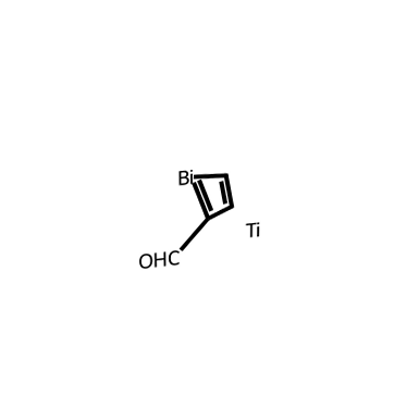 O=C[C]1=[Bi][CH]=C1.[Ti]